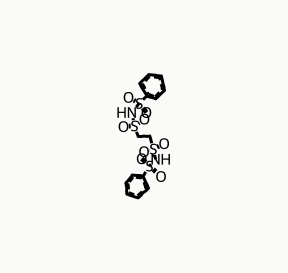 O=S(=O)(CCS(=O)(=O)NS(=O)(=O)c1ccccc1)NS(=O)(=O)c1ccccc1